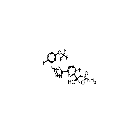 C[C@](O)(CS(N)(=O)=O)c1nc(-c2nnn(Cc3cc(OC(F)(F)F)ccc3F)n2)ccc1F